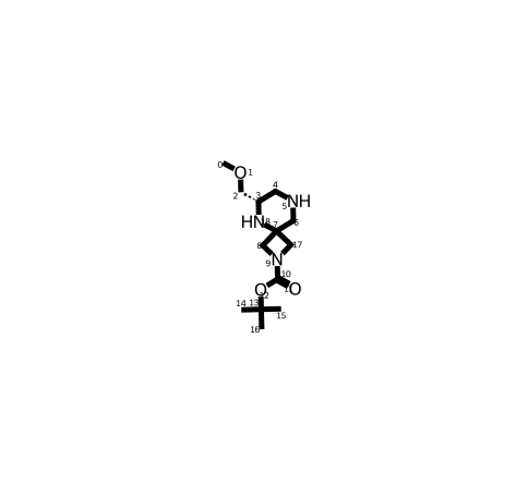 COC[C@@H]1CNCC2(CN(C(=O)OC(C)(C)C)C2)N1